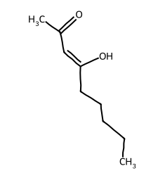 CCCCC/C(O)=C/C(C)=O